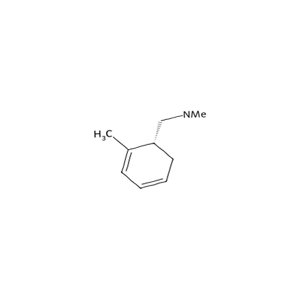 CNC[C@@H]1CC=CC=C1C